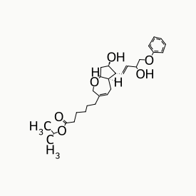 CC(C)OC(=O)CCCCCC1=CC[C@@H]2[C@@H](C=CC(O)COc3ccccc3)[C@H](O)C[C@@H]2OC1